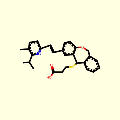 Cc1ccc(C=Cc2ccc3c(c2)C(SCCC(=O)O)c2ccccc2CO3)nc1C(C)C